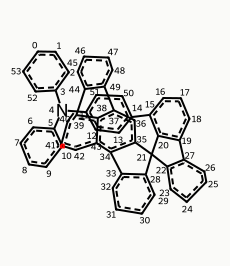 c1ccc(N(c2ccccc2)c2ccc(-c3cccc4c3C3(c5ccccc5-4)c4ccccc4-c4c3cc3c5c(cccc45)-c4ccccc4-3)cc2)cc1